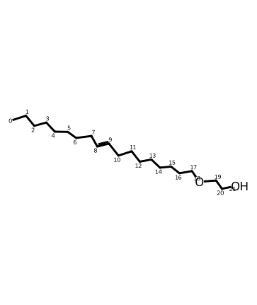 CCCCCCCCC=CCCCCCCCCOCCO